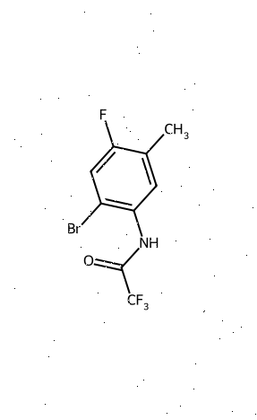 Cc1cc(NC(=O)C(F)(F)F)c(Br)cc1F